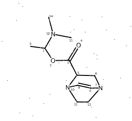 CC(OC(=O)C1CN2C=CN1CC2)N(C)C